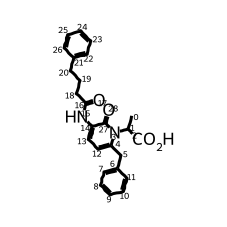 CC(C(=O)O)n1c(Cc2ccccc2)ccc(NC(=O)CCCc2ccccc2)c1=O